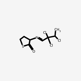 CC(Cl)C(Cl)(Cl)C=NC1CCSC1=O